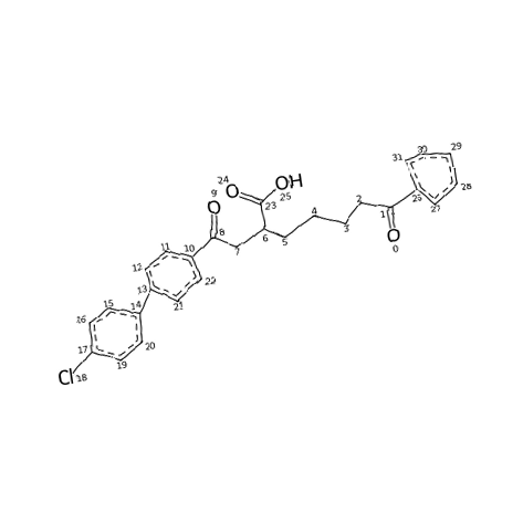 O=C(CCCCC(CC(=O)c1ccc(-c2ccc(Cl)cc2)cc1)C(=O)O)c1ccccc1